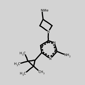 CNC1CN(c2cc(C3C(C)(C)C3(C)C)nc(N)n2)C1